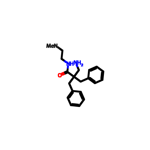 CNCCNC(=O)C(CN)(Cc1ccccc1)Cc1ccccc1